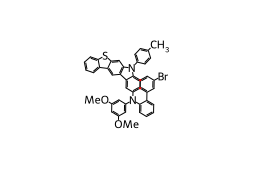 COc1cc(OC)cc(N(c2ccc3c(c2)c2cc4c(cc2n3-c2ccc(C)cc2)sc2ccccc24)c2ccccc2-c2cccc(Br)c2)c1